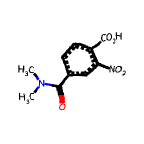 CN(C)C(=O)c1ccc(C(=O)O)c([N+](=O)[O-])c1